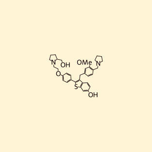 COc1cc(Cc2c(-c3ccc(OCCN4CCCC4CO)cc3)sc3cc(O)ccc23)ccc1CN1CCCC1